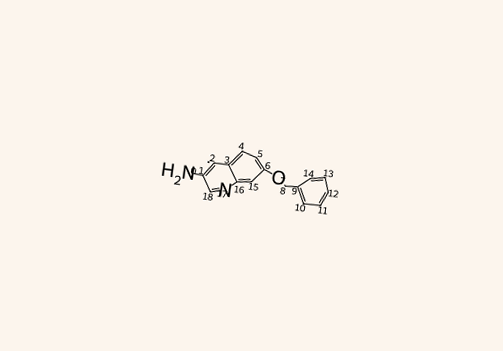 Nc1[c]c2ccc(OCc3ccccc3)cc2nc1